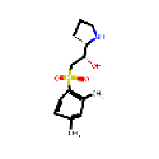 Cc1ccc(S(=O)(=O)C[C@@H](O)[C@@H]2CCCN2)c(C)c1